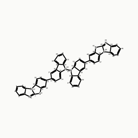 c1ccc2c(c1)nc1sc3cc(-c4ccc5c(c4)c4ccccc4n5-n4c5ccccc5c5cc(-c6ccc7c(c6)sc6nc8ccccc8n67)ccc54)ccc3n12